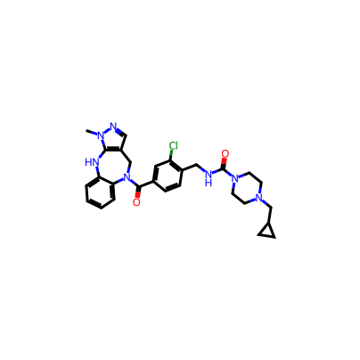 Cn1ncc2c1Nc1ccccc1N(C(=O)c1ccc(CNC(=O)N3CCN(CC4CC4)CC3)c(Cl)c1)C2